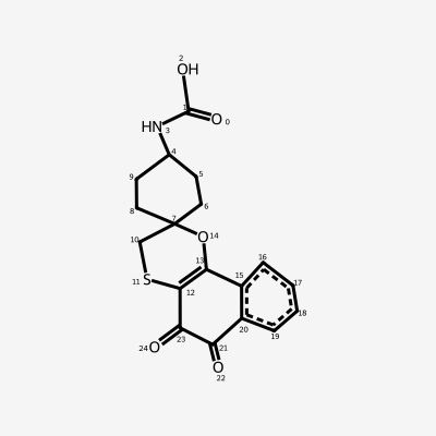 O=C(O)NC1CCC2(CC1)CSC1=C(O2)c2ccccc2C(=O)C1=O